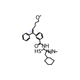 CNC[C@@](C)(CC1CCCCC1)C(S)NC(=O)c1cccc(/C(=C\CCCOC)c2ccccc2)c1